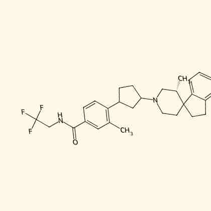 Cc1cc(C(=O)NCC(F)(F)F)ccc1C1CCC(N2CCC3(CCc4ccccc43)[C@@H](C)C2)C1